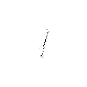 CCCCCCCCCCCCCCC(O)CCCCCCCCCCCC(C)C